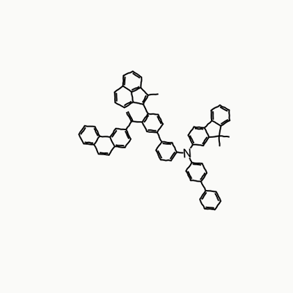 C=C(c1ccc2ccc3ccccc3c2c1)c1cc(-c2cccc(N(c3ccc(-c4ccccc4)cc3)c3ccc4c(c3)C(C)(C)c3ccccc3-4)c2)ccc1C1=C(C)c2cccc3cccc1c23